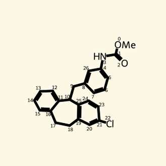 COC(=O)Nc1cccc(CC2c3ccccc3CCc3cc(Cl)ccc32)c1